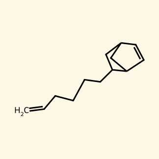 C=CCCCCC1CC2C=CC1C2